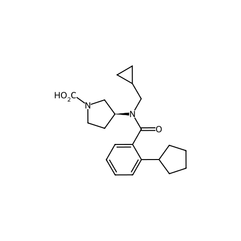 O=C(O)N1CC[C@H](N(CC2CC2)C(=O)c2ccccc2C2CCCC2)C1